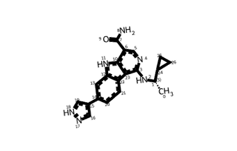 C[C@H](Nc1ncc(C(N)=O)c2[nH]c3cc(-c4cn[nH]c4)ccc3c12)C1CC1